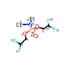 CCN(CC)P(=O)(OCC(F)F)OCC(F)F